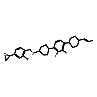 C/C=C/C1CCC(c2ccc(C3CCC(OCc4ccc(C5CO5)cc4F)CC3)c(F)c2F)CC1